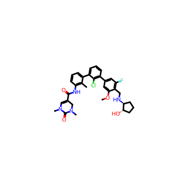 COc1cc(-c2cccc(-c3cccc(NC(=O)C4=CN(C)C(=O)N(C)C4)c3C)c2Cl)cc(F)c1CN[C@H]1CCC[C@@H]1O